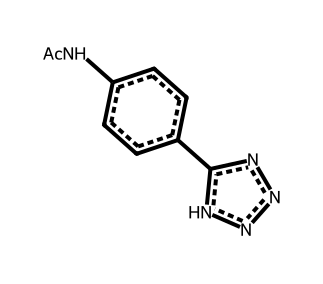 [CH2]C(=O)Nc1ccc(-c2nnn[nH]2)cc1